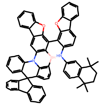 CC1(C)CCC(C)(C)c2cc(Nc3ccc4c(oc5ccccc54)c3-c3c4c(cc5c3oc3ccccc35)N3c5ccccc5C5(c6ccccc6-c6ccccc65)c5cccc(c53)B4)ccc21